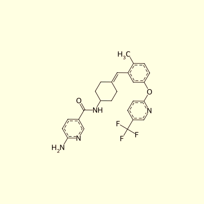 Cc1ccc(Oc2ccc(C(F)(F)F)cn2)cc1C=C1CCC(NC(=O)c2ccc(N)nc2)CC1